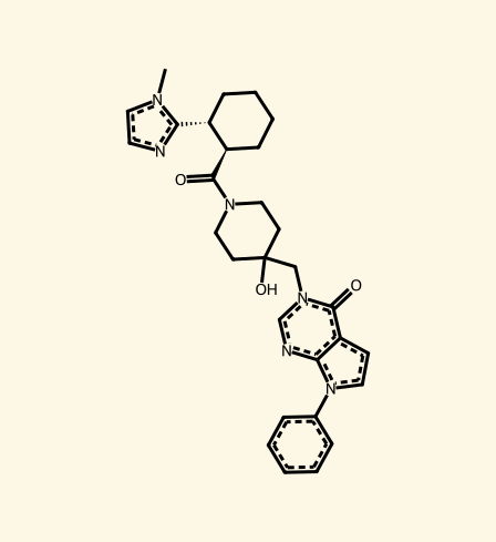 Cn1ccnc1[C@@H]1CCCC[C@H]1C(=O)N1CCC(O)(Cn2cnc3c(ccn3-c3ccccc3)c2=O)CC1